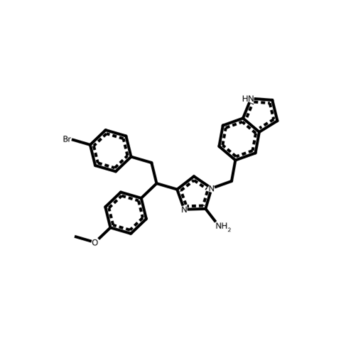 COc1ccc(C(Cc2ccc(Br)cc2)c2cn(Cc3ccc4[nH]ccc4c3)c(N)n2)cc1